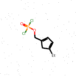 CCC1=CC=C(COP(=O)(Cl)Cl)C1